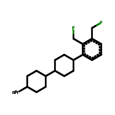 CCCC1CCC(C2CCC(c3cccc(CF)c3CF)CC2)CC1